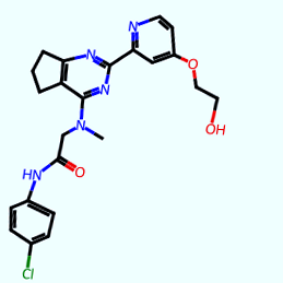 CN(CC(=O)Nc1ccc(Cl)cc1)c1nc(-c2cc(OCCO)ccn2)nc2c1CCC2